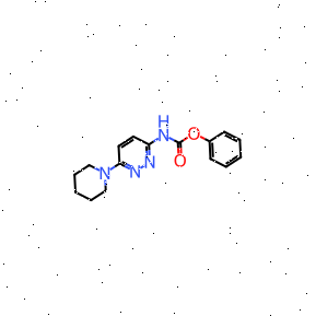 O=C(Nc1ccc(N2CCCCC2)nn1)Oc1ccccc1